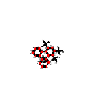 CC(C)(C)c1cc(C(C)(C)C)c(C(C)(C)C)c(C(C)(C)C)c1-c1ccccc1-c1ccccc1-c1ccccc1-c1ccccc1-c1ccccc1